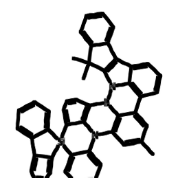 Cc1cc2c3c(c1)N1c4ccccc4[Si]4(c5ccccc5-c5ccccc54)c4cccc(c41)B3n1c3c(c4cccc-2c41)-c1ccccc1C3(C)C